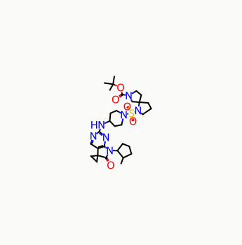 CC1CCCC1N1C(=O)C2(CC2)c2cnc(NC3CCN(S(=O)(=O)N4CCCC45CCN(C(=O)OC(C)(C)C)C5)CC3)nc21